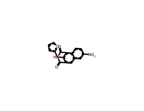 O=C1NC(=O)c2c(Cc3ccco3)c1cc1cc([N+](=O)[O-])ccc21